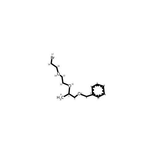 CC(COCc1ccccc1)OCCOCCBr